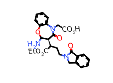 CCOC(=O)C(CCN1Cc2ccccc2C1=O)[C@@H]1C(=O)N(CC(=O)O)c2ccccc2OC1N